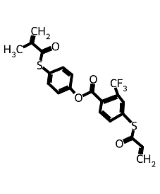 C=CC(=O)Sc1ccc(C(=O)Oc2ccc(SC(=O)C(=C)C)cc2)c(C(F)(F)F)c1